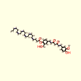 CC/C=C\C/C=C\C/C=C\C/C=C\C/C=C\C/C=C\CCC(=O)Oc1ccc(/C=C/C(=O)CC(=O)/C=C/c2ccc(O)c(OC)c2)cc1CO